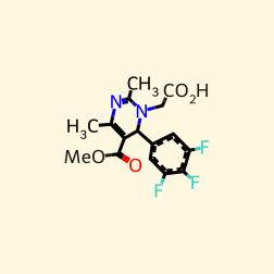 COC(=O)C1=C(C)N=C(C)N(CC(=O)O)C1c1cc(F)c(F)c(F)c1